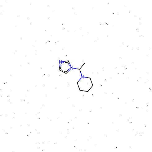 CC(N1CCCCC1)n1ccnc1